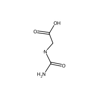 NC(=O)[N]CC(=O)O